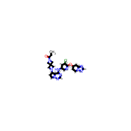 C=CC(=O)N1CC2(C1)CN(c1ccn3ncnc(Nc4cnc(Oc5ccn6ncnc6c5)c(Cl)c4)c13)C2